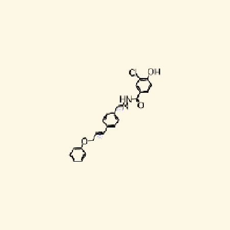 O=C(N/N=C/c1ccc(/C=C/COc2ccccc2)cc1)c1ccc(O)c(Cl)c1